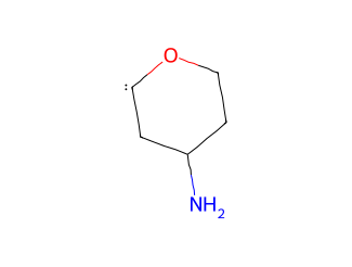 NC1C[C]OCC1